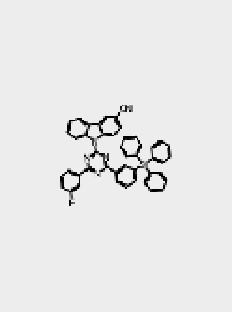 N#Cc1ccc2c(c1)c1ccccc1n2-c1nc(-c2cccc(F)c2)nc(-c2cccc([Si](c3ccccc3)(c3ccccc3)c3ccccc3)c2)n1